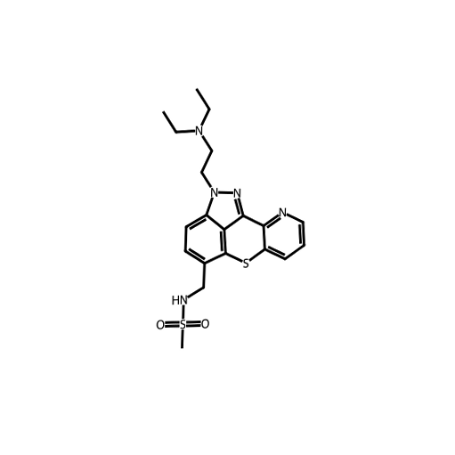 CCN(CC)CCn1nc2c3c(c(CNS(C)(=O)=O)ccc31)Sc1cccnc1-2